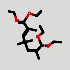 CCO[SiH](OCC)C(C)=C[Si](C)(C)C=C(C)[SiH](OCC)OCC